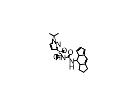 CC(C)n1ccc(S(=O)(=O)NC(=O)NC2C3C=CC=C3C=C3CCCC32)n1